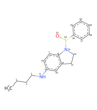 CCCCNc1ccc2c(c1)CCN2[S+]([O-])c1ccccc1